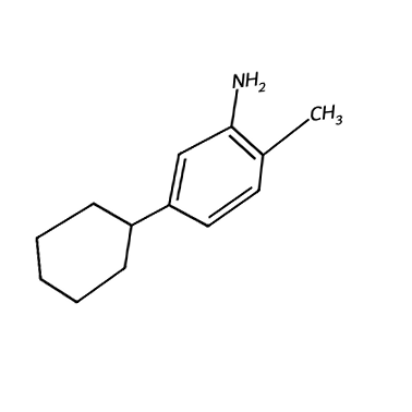 Cc1ccc(C2CCCCC2)cc1N